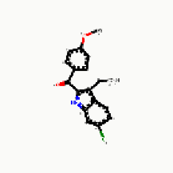 CC(C)Oc1ccc(C(=O)c2[nH]c3cc(Cl)ccc3c2CC(=O)O)cc1